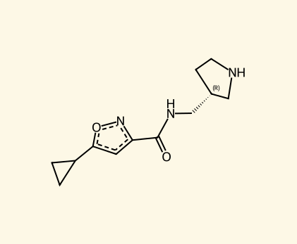 O=C(NC[C@@H]1CCNC1)c1cc(C2CC2)on1